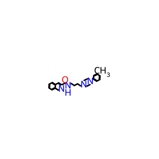 Cc1cccc(N2CCN(CCCCNC(=O)c3cc4ccccc4cn3)CC2)c1